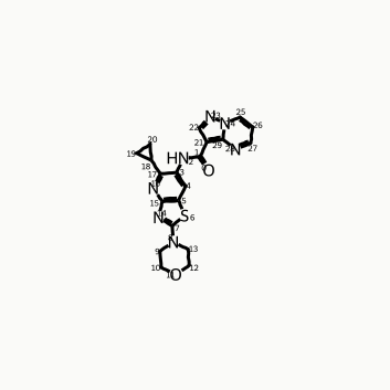 O=C(Nc1cc2sc(N3CCOCC3)nc2nc1C1CC1)c1cnn2cccnc12